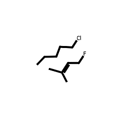 CC(C)=CCF.CCCCCCl